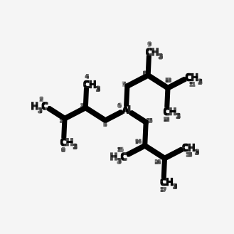 CC(C)C(C)[CH2][Al]([CH2]C(C)C(C)C)[CH2]C(C)C(C)C